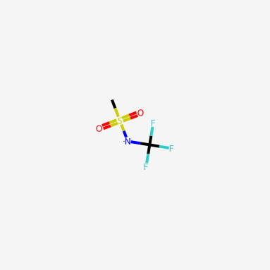 CS(=O)(=O)[N]C(F)(F)F